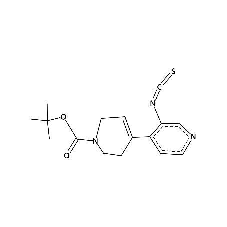 CC(C)(C)OC(=O)N1CC=C(c2ccncc2N=C=S)CC1